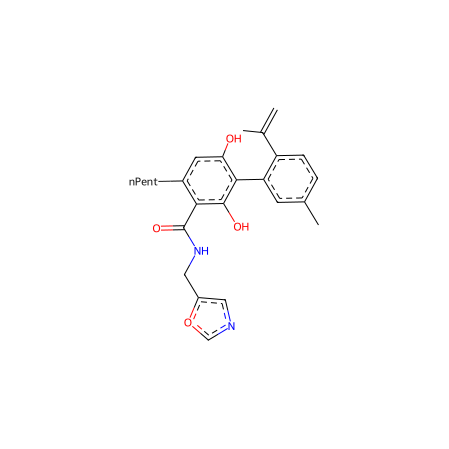 C=C(C)c1ccc(C)cc1-c1c(O)cc(CCCCC)c(C(=O)NCc2cnco2)c1O